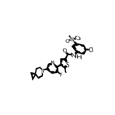 Cc1sc(C(=O)Nc2cc(Cl)cc(S(C)(=O)=O)c2)cc1-c1ncc(N2CCC3(CC2)CC3)cc1F